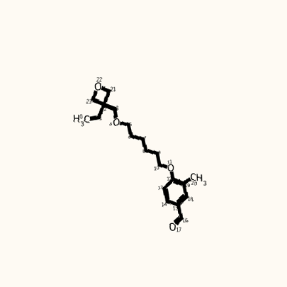 CCC1(COCCCCCCOc2ccc(C=O)cc2C)COC1